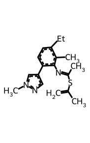 C=C(C)S/C(C)=N/c1c(-c2cnn(C)c2)ccc(CC)c1C